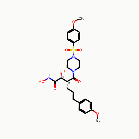 CCOc1ccc(CCC[C@@H](C(=O)N2CCN(S(=O)(=O)c3ccc(OC(F)(F)F)cc3)CC2)[C@H](O)C(=O)NO)cc1